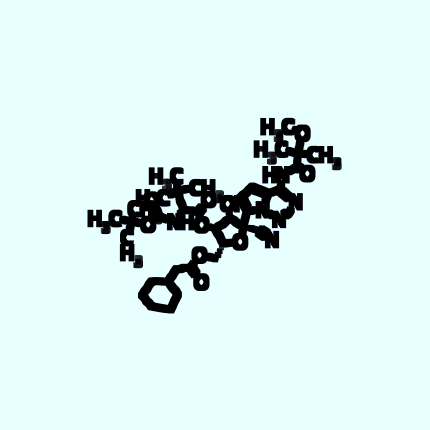 COC(C)(C)C(=O)Nc1ncnn2c([C@]3(C#N)O[C@H](COC(=O)CC4CCCCC4)[C@@H](OC(=O)[C@@H](NC(=O)OC(C)(C)C)C(C)(C)C)[C@H]3O)ccc12